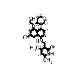 CCN(c1cc(Cl)cc2c(NCc3c(C)cc(C)[nH]c3=O)nccc12)C1CCOCC1